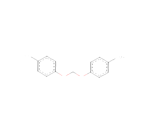 COc1ccc(OCOc2ccc(C=O)cc2)cc1